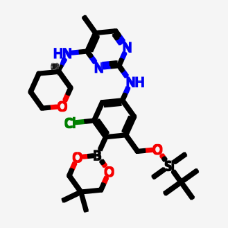 Cc1cnc(Nc2cc(Cl)c(B3OCC(C)(C)CO3)c(CO[Si](C)(C)C(C)(C)C)c2)nc1N[C@@H]1CCCOC1